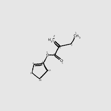 C=C(CC)C(=O)OC1=CCCC1